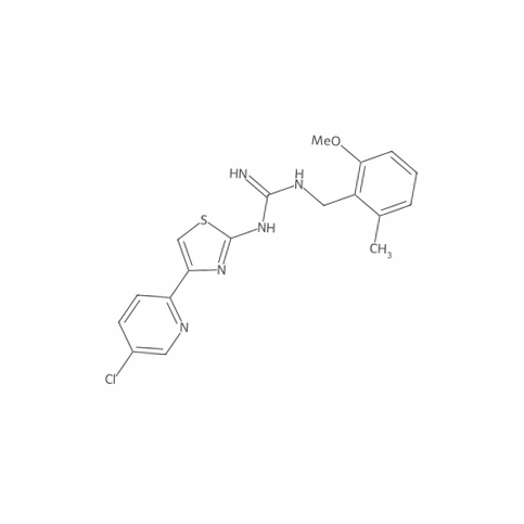 COc1cccc(C)c1CNC(=N)Nc1nc(-c2ccc(Cl)cn2)cs1